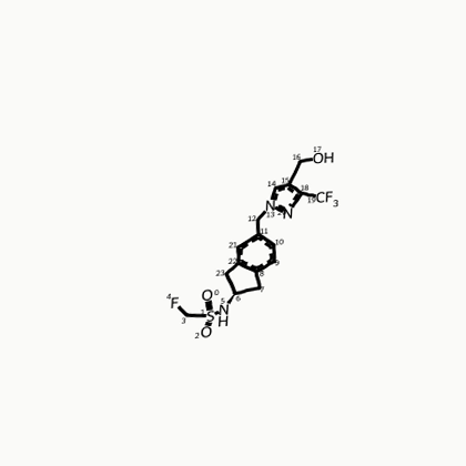 O=S(=O)(CF)N[C@@H]1Cc2ccc(Cn3cc(CO)c(C(F)(F)F)n3)cc2C1